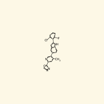 Cc1cc(-c2nnco2)ncc1-c1ccc2[nH]c(-c3c(F)cccc3Cl)cc2c1